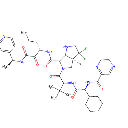 CCC[C@H](NC(=O)[C@@H]1C2NCC(F)(F)[C@H]2CN1C(=O)[C@@H](NC(=O)[C@@H](NC(=O)c1cnccn1)C1CCCCC1)C(C)(C)C)C(=O)C(=O)N[C@@H](C)c1ccncc1